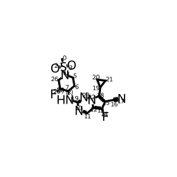 CS(=O)(=O)N1CC[C@@H](Nc2ncc3c(F)c(C#N)c(C4CC4)n3n2)[C@H](F)C1